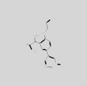 C=CCNc1ccc(C(/C=N\CC)=C/N=C)cc1C(NC)C(=C)C